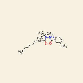 CCCCCCC#CC(=O)N(NC(=O)c1cccc(C)c1)C(C)(C)C